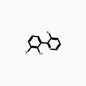 Oc1c(Br)cccc1-c1ncccc1Br